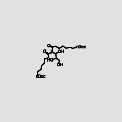 CCCCCCCCCCCCCCCCC(=O)P(C(=O)CCCCCCCCCCCCCCCC)C(O)C(O)CO